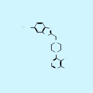 COc1ccc2nc(CN3CCN(c4ncnc(C)c4C)CC3)oc2c1